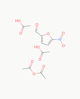 CC(=O)O.CC(=O)O.CC(=O)OC(C)=O.O=Cc1ccc([N+](=O)[O-])o1